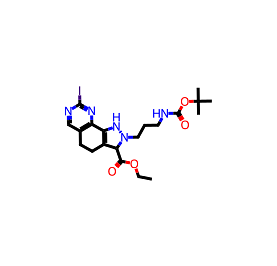 CCOC(=O)C1C2=C(NN1CCCNC(=O)OC(C)(C)C)c1nc(I)ncc1CC2